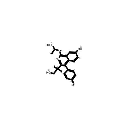 CC(Oc1nc(C(C)(C)CO)c(-c2ccc(F)cc2)c2ccc(O)cc12)C(=O)O